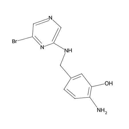 Nc1ccc(CNc2cncc(Br)n2)cc1O